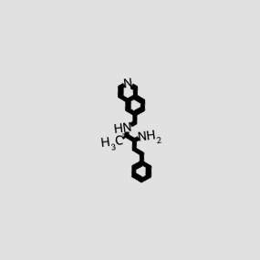 C[C@@H](NCc1ccc2cnccc2c1)C(N)CCc1ccccc1